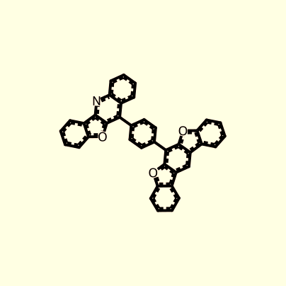 c1ccc2c(-c3ccc(-c4c5oc6ccccc6c5cc5c4oc4ccccc45)cc3)c3oc4ccccc4c3nc2c1